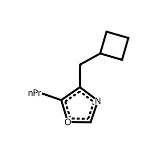 CCCc1ocnc1CC1CCC1